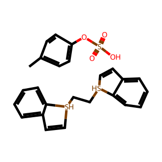 C1=C[SH](CC[SH]2C=Cc3ccccc32)c2ccccc21.Cc1ccc(OS(=O)(=O)O)cc1